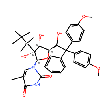 COc1ccc(C(c2ccccc2)(c2ccc(OC)cc2)C(O)[C@H]2O[C@@H](n3cc(C)c(=O)[nH]c3=O)[C@@](O)([Si](C)(C)C(C)(C)C)[C@@H]2O)cc1